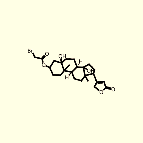 CC12CC[C@H]3[C@@H](CCC4(O)CC(OC(=O)CBr)CCC34C)C1(O)CCC2C1=CC(=O)OC1